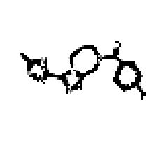 Cc1nsc(-c2nnc3n2CCCN(C(=O)c2ccc(F)cc2)C3)n1